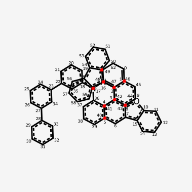 C1=CC(c2cccc3c2oc2ccccc23)=C(N(c2cccc(-c3cccc(-c4ccccc4)c3)c2)c2ccccc2-c2ccccc2-n2c3ccccc3c3ccccc32)CC1